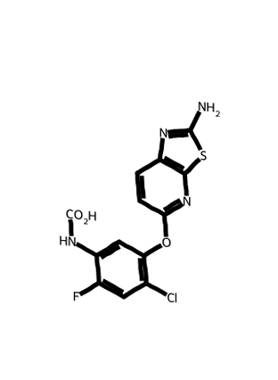 Nc1nc2ccc(Oc3cc(NC(=O)O)c(F)cc3Cl)nc2s1